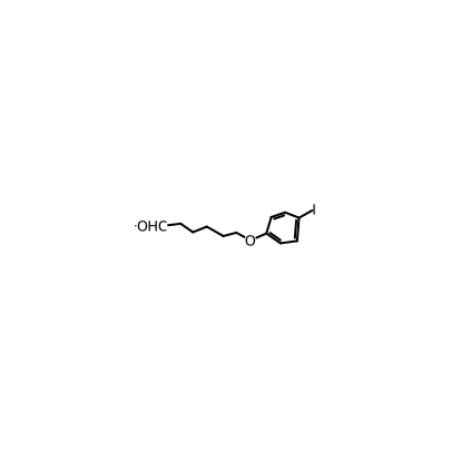 O=[C]CCCCCOc1ccc(I)cc1